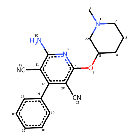 CN1CCCC(Oc2nc(N)c(C#N)c(-c3ccccc3)c2C#N)C1